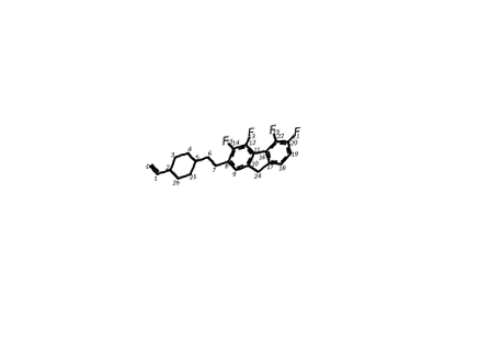 C=CC1CCC(CCc2cc3c(c(F)c2F)-c2c(ccc(F)c2F)C3)CC1